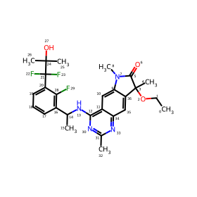 CCOC1(C)C(=O)N(C)c2cc3c(NC(C)c4cccc(C(F)(F)C(C)(C)O)c4F)nc(C)nc3cc21